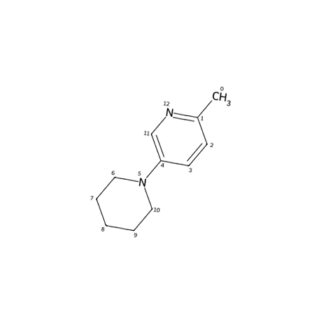 Cc1ccc(N2CCCCC2)cn1